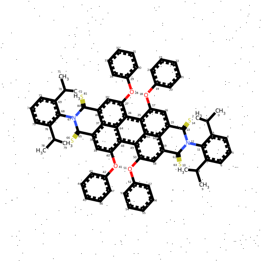 CC(C)c1cccc(C(C)C)c1N1C(=S)c2cc(Oc3ccccc3)c3c4c(Oc5ccccc5)cc5c6c(cc(Oc7ccccc7)c(c7c(Oc8ccccc8)cc(c2c37)C1=S)c64)C(=S)N(c1c(C(C)C)cccc1C(C)C)C5=S